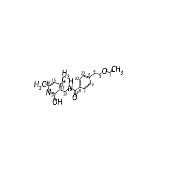 CCOCCc1ccc(C(=O)NCc2c(C)cc(C)nc2O)cc1